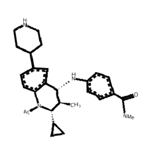 CNC(=O)c1ccc(N[C@H]2c3cc(C4CCNCC4)ccc3N(C(C)=O)[C@@H](C3CC3)[C@@H]2C)cc1